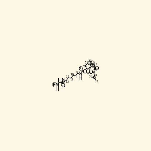 COC1C(OC(=O)NCCCCCCNC(=O)CNF)CC[C@]2(CO2)C1C1(C)O[C@@H]1CC=C(C)C